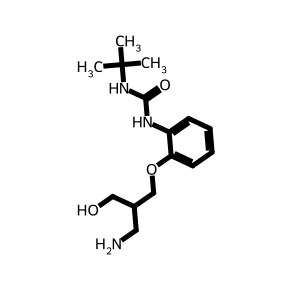 CC(C)(C)NC(=O)Nc1ccccc1OCC(CN)CO